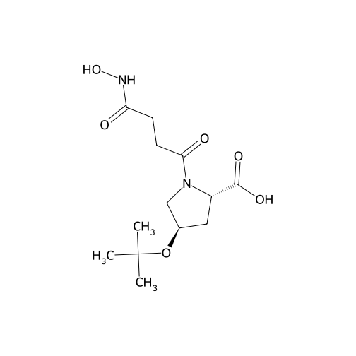 CC(C)(C)O[C@@H]1C[C@@H](C(=O)O)N(C(=O)CCC(=O)NO)C1